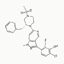 Cn1nc(-c2ccc(Cl)c(O)c2F)c2cnc(N3CCN(S(C)(=O)=O)C[C@H]3Cc3ccccc3)cc21